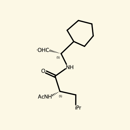 CC(=O)N[C@@H](CC(C)C)C(=O)N[C@H]([C]=O)C1CCCCC1